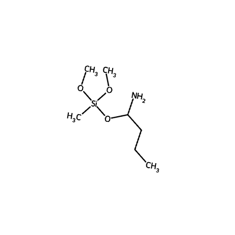 CCCC(N)O[Si](C)(OC)OC